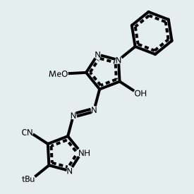 [C-]#[N+]c1c(C(C)(C)C)n[nH]c1/N=N/c1c(OC)nn(-c2ccccc2)c1O